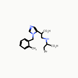 Cc1ccccc1Cn1cncc1C(CNC(CC(C)C)C(=O)O)C(=O)O